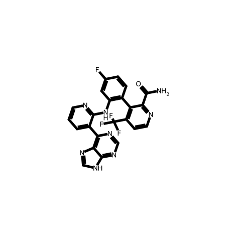 NC(=O)c1nccc(C(F)(F)F)c1-c1ccc(F)cc1Nc1ncccc1-c1ncnc2[nH]cnc12